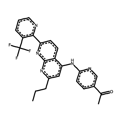 CCCc1cc(Nc2ccc(C(C)=O)cn2)c2ccc(-c3ncccc3C(F)(F)F)nc2n1